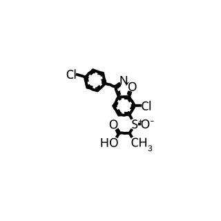 CC(C(=O)O)[S+]([O-])c1ccc2c(-c3ccc(Cl)cc3)noc2c1Cl